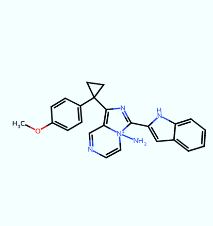 COc1ccc(C2(C3=C4C=NC=C[N+]4(N)C(c4cc5ccccc5[nH]4)=N3)CC2)cc1